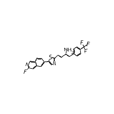 N[C@H](CCc1ncc(-c2ccc3cnc(F)cc3c2)s1)Cc1ccc(C(F)(F)F)cc1